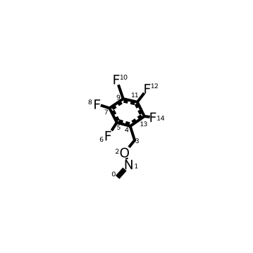 C=NOCc1c(F)c(F)c(F)c(F)c1F